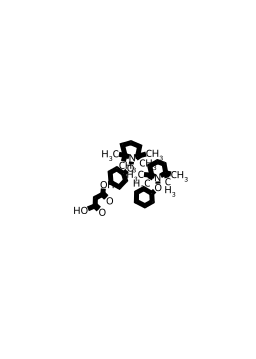 CC1(C)CCCC(C)(C)N1OC1CCCCC1.CC1(C)CCCC(C)(C)N1OC1CCCCC1.O=C(O)CC(=O)O